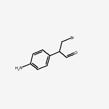 Nc1ccc(C(C=O)CBr)cc1